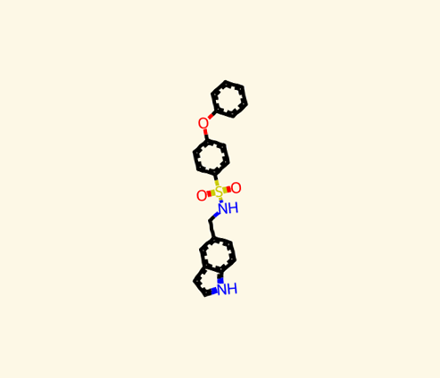 O=S(=O)(NCc1ccc2[nH]ccc2c1)c1ccc(Oc2ccccc2)cc1